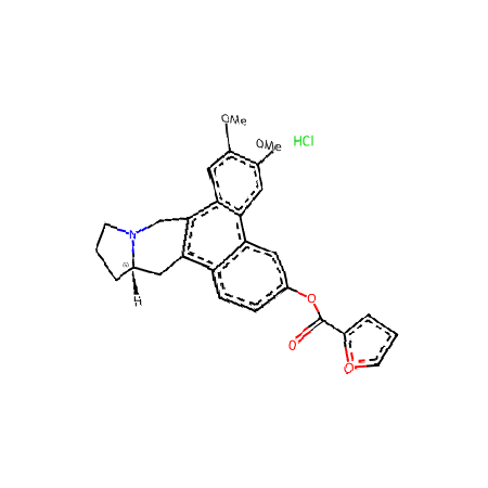 COc1cc2c3c(c4ccc(OC(=O)c5ccco5)cc4c2cc1OC)C[C@@H]1CCCN1C3.Cl